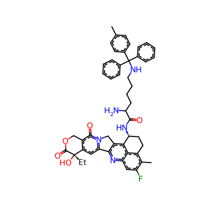 CC[C@@]1(O)C(=O)OCc2c1cc1n(c2=O)Cc2c-1nc1cc(F)c(C)c3c1c2[C@@H](NC(=O)C(N)CCCCNC(c1ccccc1)(c1ccccc1)c1ccc(C)cc1)CC3